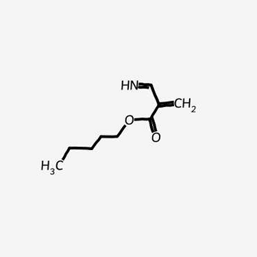 C=C(C=N)C(=O)OCCCCC